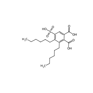 CCCCCCc1c(S(=O)(=O)O)cc(C(=O)O)c(C(=O)O)c1CCCCCC